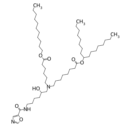 CCCCCCCCCCCOC(=O)CCCCCN(CCCCCCCC(=O)OC(CCCCCCCC)CCCCCCCC)CC(O)CCCCNC(=O)c1cnco1